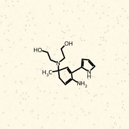 CC1(N(CCO)CCO)C=C(c2ccc[nH]2)C(N)=CC1